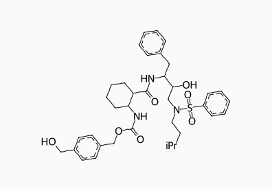 CC(C)CCN(CC(O)C(Cc1ccccc1)NC(=O)C1CCCCC1NC(=O)OCc1ccc(CO)cc1)S(=O)(=O)c1ccccc1